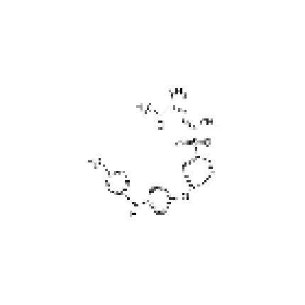 C/C(=C/C=C(\C)S(=O)(=O)C1=CC=C(Oc2ccc(Pc3ccc(C)cc3)cc2)CC=C1)C(C)C